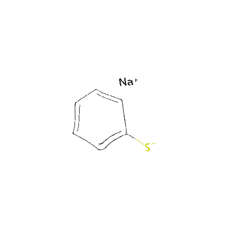 [Na+].[S-]c1ccccc1